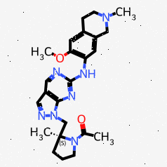 COc1cc2c(cc1Nc1ncc3cnn(C[C@]4(C)CCCN4C(C)=O)c3n1)CN(C)CC2